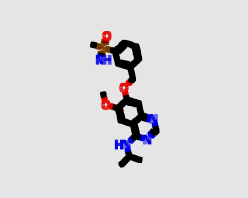 COc1cc2c(NC(C)C)ncnc2cc1OCc1cccc(S(C)(=N)=O)c1